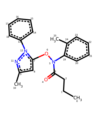 CCCC(=O)N(Oc1cc(C)nn1-c1ccccc1)c1ccccc1C